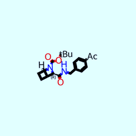 CC(=O)c1ccc(CNC(=O)[C@H]2C3CC[C@@H]3N2C(=O)OC(C)(C)C)cc1